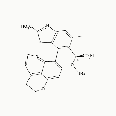 CCOC(=O)[C@@H](OC(C)(C)C)c1c(C)cc2nc(C(=O)O)sc2c1-c1ccc2c3c(ccnc13)CCO2